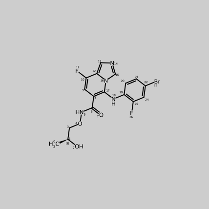 C[C@H](O)CONC(=O)c1cc(F)c2cncn2c1Nc1ccc(Br)cc1F